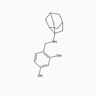 Oc1ccc(CNC23CC4CC(CC2C4)C3)c(O)c1